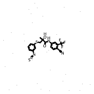 CC(O)(CSc1cccc(N=C=S)c1)C(=O)Nc1ccc(C#N)c(C(F)(F)F)c1